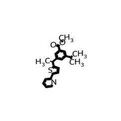 COC(=O)c1cc(C(C)C)cc([C@H](C)c2ccc(-c3ccccn3)s2)c1